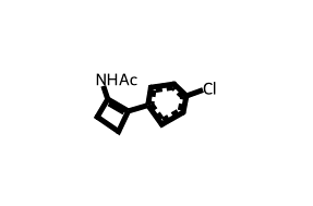 CC(=O)NC1=C(c2ccc(Cl)cc2)CC1